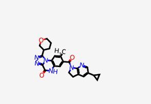 Cc1cc2c(cc1C(=O)N1CCc3cc(C4CC4)cnc31)[nH]c(=O)c1nnc(C3CCCOC3)n12